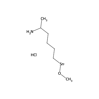 C[O][Sn][CH2]CCCC(C)N.Cl